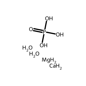 O.O.O=P(O)(O)O.[CaH2].[MgH2]